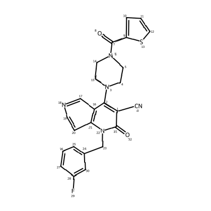 N#Cc1c(N2CCN(C(=O)c3cccs3)CC2)c2cnccc2n(Cc2cccc(F)c2)c1=O